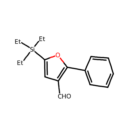 CC[Si](CC)(CC)c1cc(C=O)c(-c2ccccc2)o1